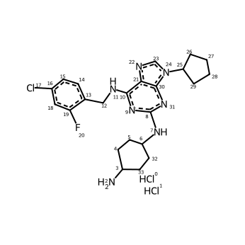 Cl.Cl.NC1CCC(Nc2nc(NCc3ccc(Cl)cc3F)c3ncn(C4CCCC4)c3n2)CC1